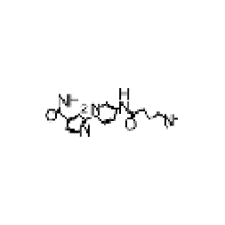 CN(C)CCCC(=O)Nc1ccc(-c2cc(C(N)=O)ccn2)nc1